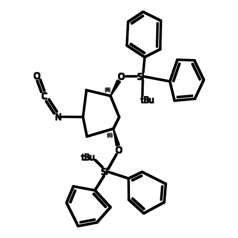 CC(C)(C)[Si](O[C@@H]1CC(N=C=O)C[C@H](O[Si](c2ccccc2)(c2ccccc2)C(C)(C)C)C1)(c1ccccc1)c1ccccc1